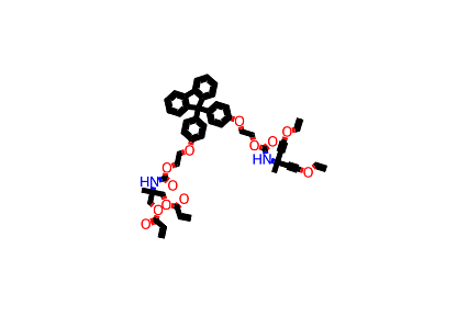 C=COC#CC(C)(C#COC=C)NC(=O)OCCOc1ccc(C2(c3ccc(OCCOC(=O)NC(C)(COC(=O)C=C)COC(=O)C=C)cc3)c3ccccc3-c3ccccc32)cc1